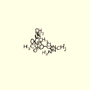 Cc1nc(N)c(CCC2CCN(C(=O)[C@H](C)NC(=O)c3cn(C)nc3C)CC2)c(Cl)n1